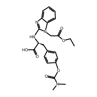 CCOC(=O)Cn1c(N[C@@H](Cc2ccc(OC(=O)N(C)C)cc2)C(=O)O)nc2ccccc21